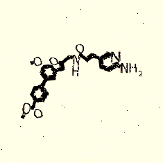 COC(=O)c1ccc(-c2cc(OC)c3oc(CNC(=O)C=Cc4ccc(N)nc4)cc3c2)cc1